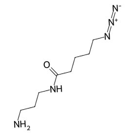 [N-]=[N+]=NCCCCC(=O)NCCCN